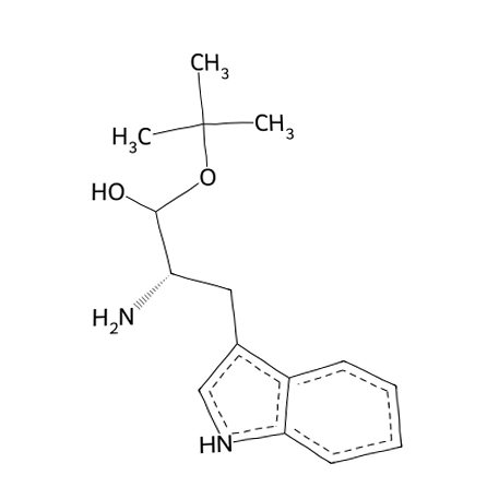 CC(C)(C)OC(O)[C@@H](N)Cc1c[nH]c2ccccc12